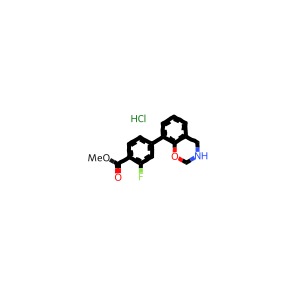 COC(=O)c1ccc(-c2cccc3c2OCNC3)cc1F.Cl